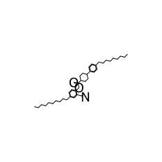 CCCCCCCCCCc1ccc(OC(=O)C2CCC(c3ccc(CCCCCCCCC)cc3)CC2)c(C#N)c1